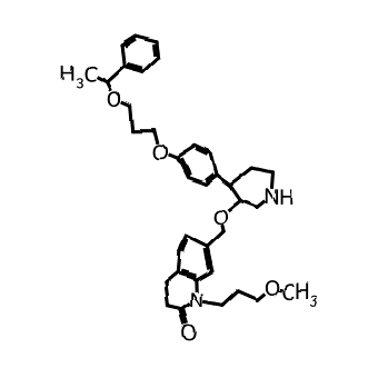 COCCCN1C(=O)CCc2ccc(COC3CNCCC3c3ccc(OCCCOC(C)c4ccccc4)cc3)cc21